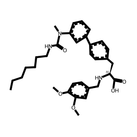 CCCCCCCNC(=O)N(C)c1cccc(-c2ccc(C[C@H](NCc3ccc(OC)c(OC)c3)C(=O)O)cc2)c1